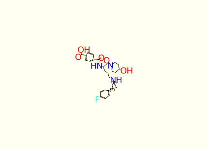 O=C(O)c1ccc(C(=O)NC(CCCN[C@@H]2C[C@H]2c2ccc(F)cc2)C(=O)N2CCC(O)CC2)cc1